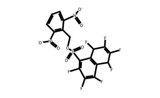 O=[N+]([O-])c1cccc([N+](=O)[O-])c1COS(=O)(=O)c1c(F)c(F)c(F)c2c1C(F)C(F)=C(F)C2F